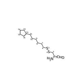 NC(C=O)CSSCCCCCCC1CCCC1